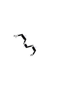 C\C=C/N=C\N=C/C(C)C